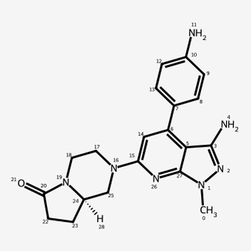 Cn1nc(N)c2c(-c3ccc(N)cc3)cc(N3CCN4C(=O)CC[C@@H]4C3)nc21